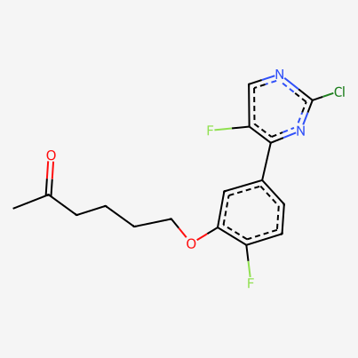 CC(=O)CCCCOc1cc(-c2nc(Cl)ncc2F)ccc1F